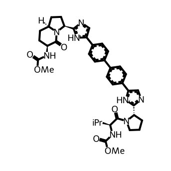 COC(=O)N[C@H]1CC[C@H]2CC[C@@H](c3ncc(-c4ccc(-c5ccc(-c6cnc([C@@H]7CCCN7C(=O)[C@@H](NC(=O)OC)C(C)C)[nH]6)cc5)cc4)[nH]3)N2C1=O